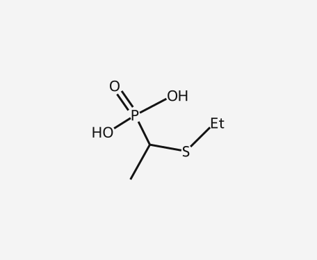 CCSC(C)P(=O)(O)O